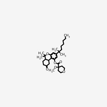 CCCCCCC(C)(C)c1cc(OC(=O)C2(OC)CCOCC2)c2c(c1)OC(C)(C)C1CCC(=O)CC21